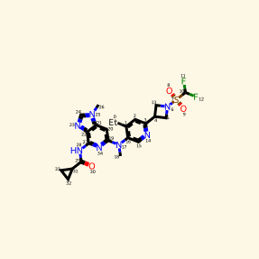 CCc1cc(C2CN(S(=O)(=O)C(F)F)C2)ncc1N(C)c1cc2c(ncn2C)c(NC(=O)C2CC2)n1